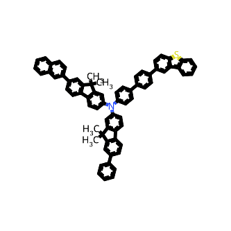 CC1(C)c2cc(-c3ccccc3)ccc2-c2ccc(N(c3ccc(-c4ccc(-c5ccc6sc7ccccc7c6c5)cc4)cc3)c3ccc4c(c3)C(C)(C)c3cc(-c5ccc6ccccc6c5)ccc3-4)cc21